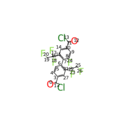 O=C(Cl)c1ccc(-c2ccc(C(=O)Cl)cc2C(F)(F)CF)c(C(F)(F)CF)c1